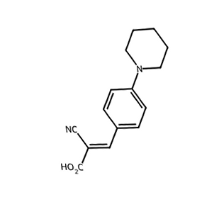 N#C/C(=C\c1ccc(N2CCCCC2)cc1)C(=O)O